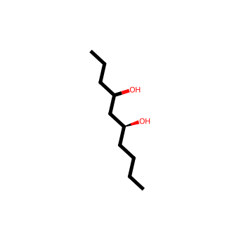 CCCC[C@H](O)CC(O)CCC